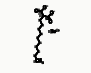 CCCCCCCCCCC(C(=O)[O-])C(=O)[O-].[Ba+2]